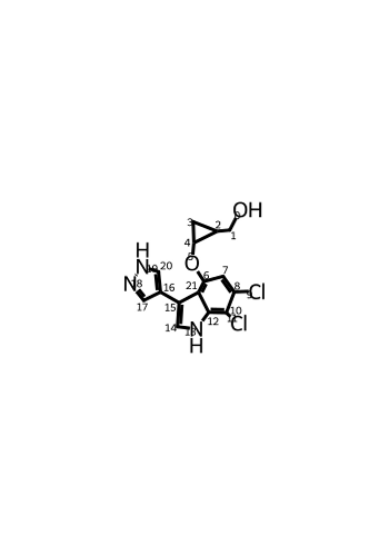 OCC1CC1Oc1cc(Cl)c(Cl)c2[nH]cc(-c3cn[nH]c3)c12